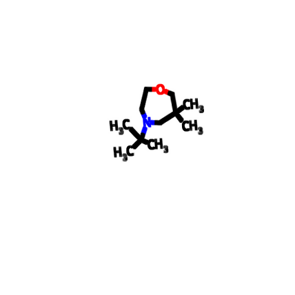 CC1(C)COCCN(C(C)(C)C)C1